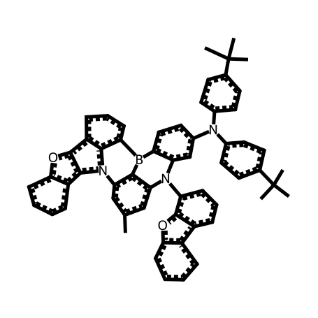 Cc1cc2c3c(c1)-n1c4c(cccc4c4oc5ccccc5c41)B3c1ccc(N(c3ccc(C(C)(C)C)cc3)c3ccc(C(C)(C)C)cc3)cc1N2c1cccc2c1oc1ccccc12